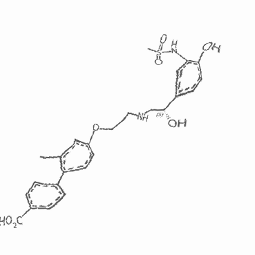 Cc1cc(OCCNC[C@@H](O)c2ccc(O)c(NS(C)(=O)=O)c2)ccc1-c1ccc(C(=O)O)cc1